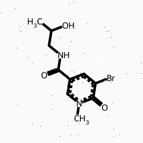 CC(O)CNC(=O)c1cc(Br)c(=O)n(C)c1